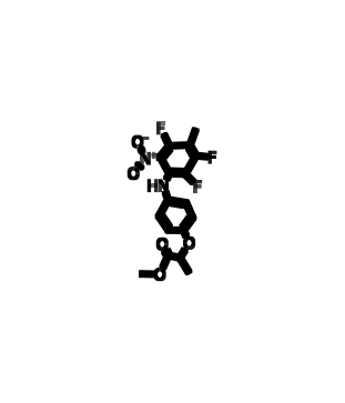 COC(=O)C(C)Oc1ccc(Nc2c(F)c(F)c(C)c(F)c2[N+](=O)[O-])cc1